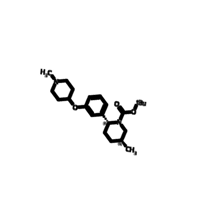 C[C@H]1CC[C@H](c2cccc(OC3CCN(C)CC3)c2)N(C(=O)OC(C)(C)C)C1